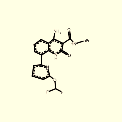 CCCNC(=O)c1c(N)c2cccc(-c3cccc(OC(F)F)n3)c2[nH]c1=O